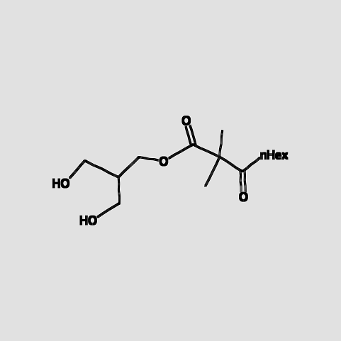 CCCCCCC(=O)C(C)(C)C(=O)OCC(CO)CO